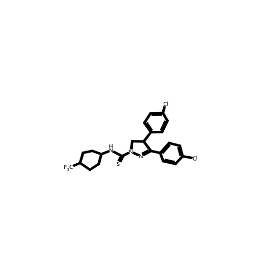 FC(F)(F)C1CCC(NC(=S)N2CC(c3ccc(Cl)cc3)C(c3ccc(Cl)cc3)=N2)CC1